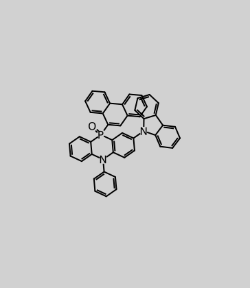 O=P1(c2cc3ccccc3c3ccccc23)c2ccccc2N(c2ccccc2)c2ccc(-n3c4ccccc4c4ccccc43)cc21